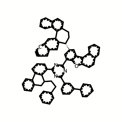 c1cc2cc3c(cc2cc#1)[C@@H](c1cc(-c2nc(-c4cccc(-c5ccccc5)c4)nc(-c4cccc5c4C(CCc4ccccc4)Cc4ccccc4-5)n2)c2oc4ccc5ccccc5c4c2c1)CCc1ccc2ccccc2c1-3